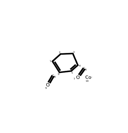 C1=CCCC=C1.[C]=O.[C]=O.[Co]